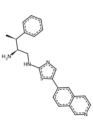 C[C@@H](c1ccccc1)[C@H](N)CNc1ncc(-c2ccc3cnccc3c2)s1